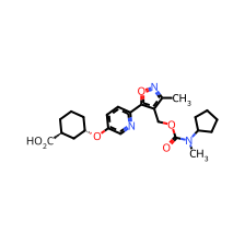 Cc1noc(-c2ccc(O[C@H]3CCC[C@H](C(=O)O)C3)cn2)c1COC(=O)N(C)C1CCCC1